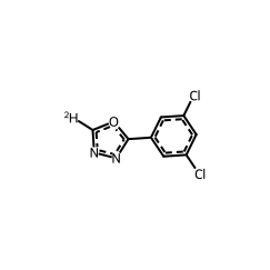 [2H]c1nnc(-c2cc(Cl)cc(Cl)c2)o1